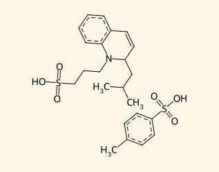 CC(C)CC1C=Cc2ccccc2N1CCCS(=O)(=O)O.Cc1ccc(S(=O)(=O)O)cc1